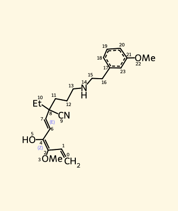 C=C/C(OC)=C(O)\C=C\C(C#N)(CC)CCCNCCc1cccc(OC)c1